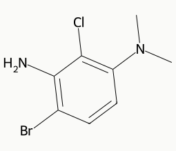 CN(C)c1ccc(Br)c(N)c1Cl